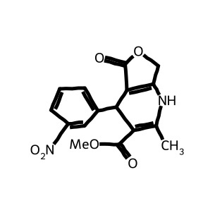 COC(=O)C1=C(C)NC2=C(C(=O)OC2)C1c1cccc([N+](=O)[O-])c1